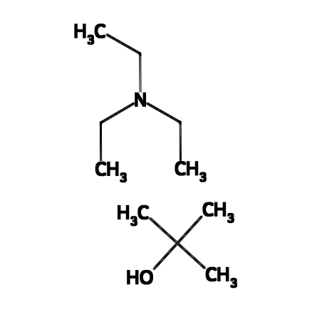 CC(C)(C)O.CCN(CC)CC